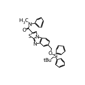 CN(C(=O)c1cn2c(nc3cc(CO[Si](c4ccccc4)(c4ccccc4)C(C)(C)C)ccc32)s1)c1ccccc1